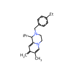 C=C1C=C2C(C(C)C)N(Cc3ccc(CC)cc3)CCN2C=C1C